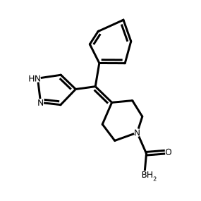 BC(=O)N1CCC(=C(c2ccccc2)c2cn[nH]c2)CC1